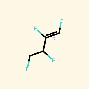 F/C=C(\F)C(F)CF